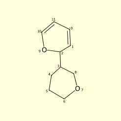 [C]1=CC(C2CCCOC2)OC=C1